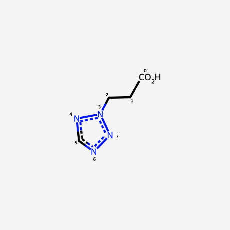 O=C(O)CCn1ncnn1